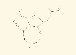 C=CC(O)CC1Oc2c(OC)ccc3c2C1=CCN(C)C3